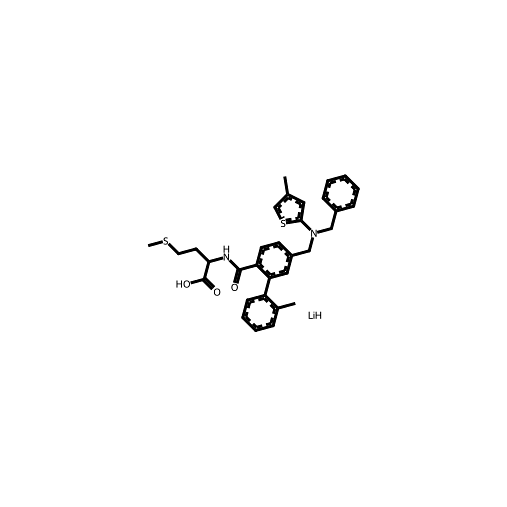 CSCCC(NC(=O)c1ccc(CN(Cc2ccccc2)c2cc(C)cs2)cc1-c1ccccc1C)C(=O)O.[LiH]